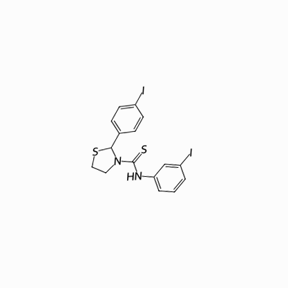 S=C(Nc1cccc(I)c1)N1CCSC1c1ccc(I)cc1